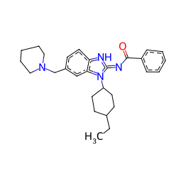 CCC1CCC(n2/c(=N/C(=O)c3ccccc3)[nH]c3ccc(CN4CCCCC4)cc32)CC1